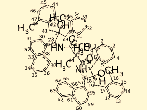 Cc1ccccc1CC(O)(Cc1ccccc1C)[C@@H](NC(=O)C(C)(C)C(=O)N[C@@H](c1cccc2ccccc12)C(O)(Cc1ccccc1C)Cc1ccccc1C)c1cccc2ccccc12